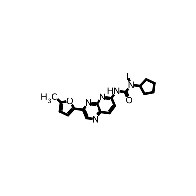 Cc1ccc(-c2cnc3ccc(NC(=O)N(I)C4CCCC4)nc3n2)o1